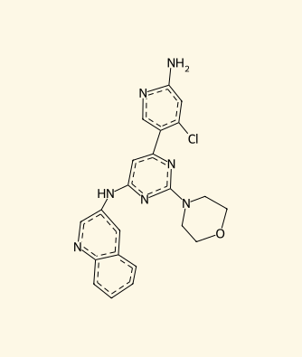 Nc1cc(Cl)c(-c2cc(Nc3cnc4ccccc4c3)nc(N3CCOCC3)n2)cn1